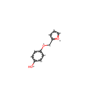 Oc1ccc(OCc2ccco2)cc1